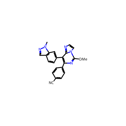 COc1nc(-c2ccc(C#N)cc2)c(-c2ccc3cnn(C)c3c2)c2nccn12